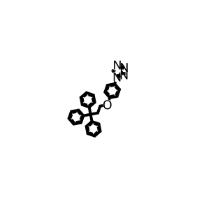 c1ccc(C(CCOc2ccc(-n3cnnn3)cc2)(c2ccccc2)c2ccccc2)cc1